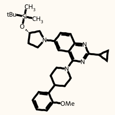 COc1ccccc1C1CCN(c2nc(C3CC3)nc3ccc(N4CC[C@H](O[Si](C)(C)C(C)(C)C)C4)cc23)CC1